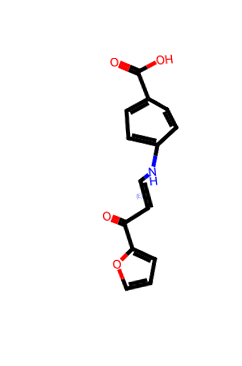 O=C(O)c1ccc(N/C=C/C(=O)c2ccco2)cc1